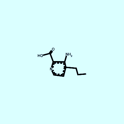 CCCc1ccnc(C(=O)O)c1N